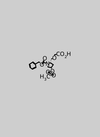 CS(=O)(=O)O[C@@H]1C[C@@H](COCC(=O)O)N(C(=O)OCc2ccccc2)C1